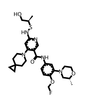 C[C@@H]1CN(c2cc(NC(=O)c3cnc(NS[C@H](C)CO)cc3N3CCC4(CC3)CC4)ccc2OCF)CCO1